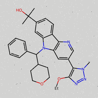 CCOc1nnn(C)c1-c1cnc2c3ccc(C(C)(C)O)cc3n(C(c3ccccc3)C3CCOCC3)c2c1